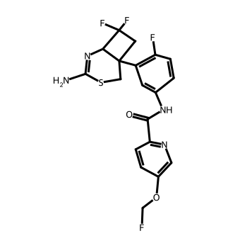 NC1=NC2C(F)(F)CC2(c2cc(NC(=O)c3ccc(OCF)cn3)ccc2F)CS1